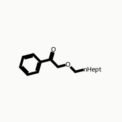 CCCCCCCCOCC(=O)c1ccccc1